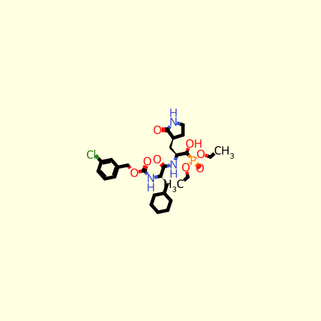 CCOP(=O)(OCC)C(O)[C@H](C[C@@H]1CCNC1=O)NC(=O)[C@H](CC1CCCCC1)NC(=O)OCc1cccc(Cl)c1